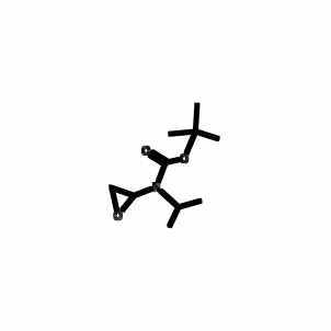 CC(C)N(C(=O)OC(C)(C)C)C1CO1